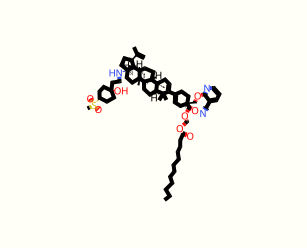 C=C(C)[C@@H]1CC[C@]2(NCC[C@]3(O)CC[C@@H](S(C)(=O)=O)CC3)CC[C@]3(C)[C@H](CC[C@@H]4[C@@]5(C)CC=C(C6=CC[C@@](COc7ncccc7C#N)(C(=O)OCOC(=O)CCCCCCCCCCC)CC6)C(C)(C)[C@@H]5CC[C@]43C)[C@@H]12